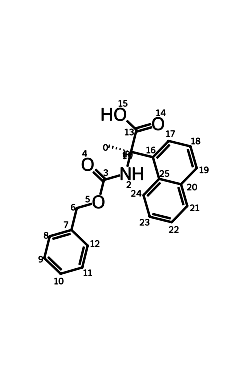 C[C@](NC(=O)OCc1ccccc1)(C(=O)O)c1cccc2ccccc12